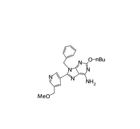 CCCCOc1nc(N)c2nc(-c3cncc(COC)c3)n(Cc3ccccc3)c2n1